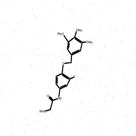 CNCC(=O)Nc1ccc(OCc2cc(OC)c(OC)c(OC)c2)c(F)c1